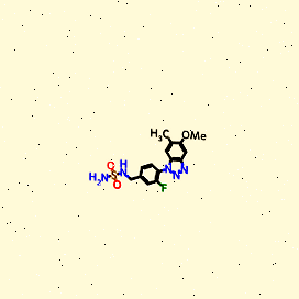 COc1cc2nnn(-c3ccc(CNS(N)(=O)=O)cc3F)c2cc1C